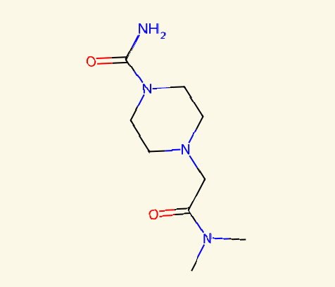 CN(C)C(=O)CN1CCN(C(N)=O)CC1